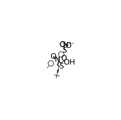 CC(C)(C)C#Cc1cc(N(C(=O)[C@H]2CC[C@H](C)CC2)[C@H]2CC[C@H](Sc3cccc[n+]3[O-])CC2)c(C(=O)O)s1